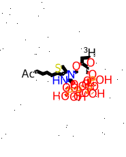 [3H][C@H]1CC(OCN2C(=O)NC3C(CCCCC(C)=O)SCC32)[C@@H](COP(=O)(O)OP(=O)(O)OP(=O)(O)OP(=O)(O)O)O1